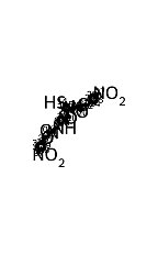 O=C(N=CN[C@H]1CCN(C(=O)[C@@H]2C[C@H](S)CN2C=NC(=O)OCc2ccc([N+](=O)[O-])cc2)C1)OCc1ccc([N+](=O)[O-])cc1